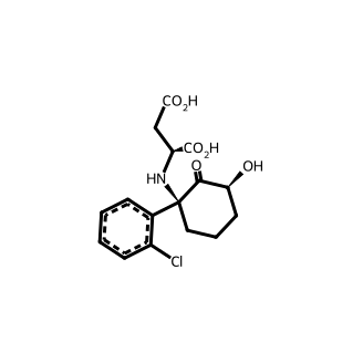 O=C(O)C[C@H](N[C@]1(c2ccccc2Cl)CCC[C@H](O)C1=O)C(=O)O